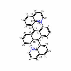 c1cnc2c(-c3c4ccccc4c(-c4cccc5cccnc45)c4ccccc34)cccc2c1